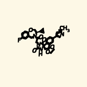 Cn1cc(-c2ccc3c(c2)C2(CC34NC(=O)N(CC(=O)N3Cc5cc(F)ccc5OC[C@H]3C3CC3)C4=O)OCCO2)cn1